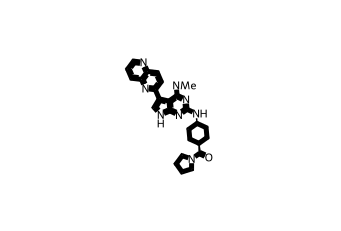 CNc1nc(N[C@H]2CC[C@H](C(=O)N3CCCC3)CC2)nc2[nH]cc(-c3ccc4ncccc4n3)c12